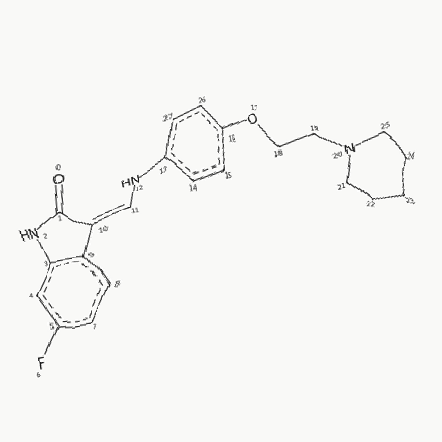 O=C1Nc2cc(F)ccc2C1=CNc1ccc(OCCN2CCCCC2)cc1